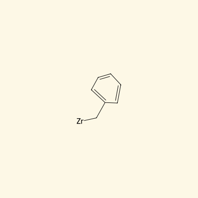 [Zr][CH2]c1ccccc1